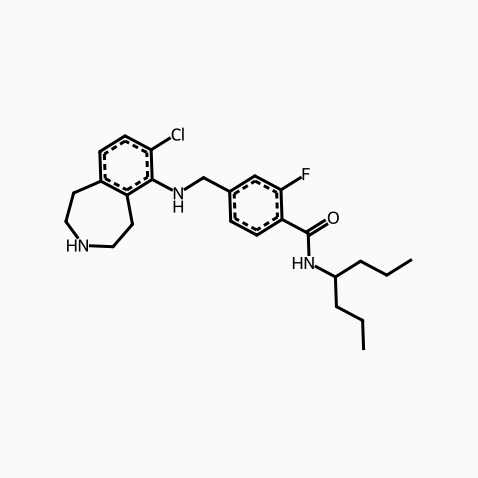 CCCC(CCC)NC(=O)c1ccc(CNc2c(Cl)ccc3c2CCNCC3)cc1F